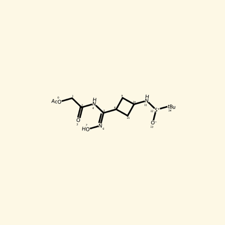 CC(=O)OCC(=O)N/C(=N\O)C1CC(N[S+]([O-])C(C)(C)C)C1